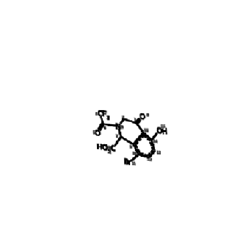 O=C1CN(C(=O)C(F)(F)F)C(C(=O)O)c2c(Br)ccc(O)c21